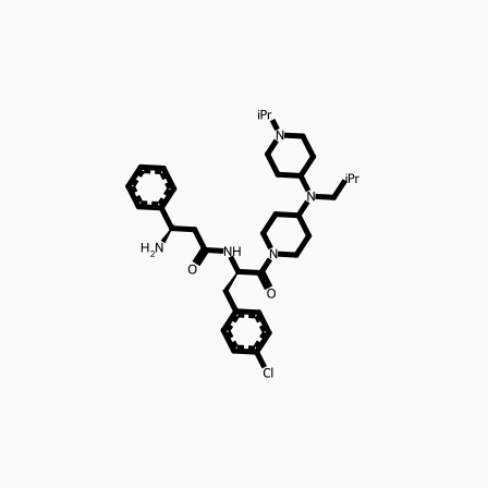 CC(C)CN(C1CCN(C(=O)[C@@H](Cc2ccc(Cl)cc2)NC(=O)C[C@@H](N)c2ccccc2)CC1)C1CCN(C(C)C)CC1